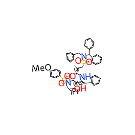 COc1ccc(S(=O)(=O)N(CC(C)C)C[C@@H](O)[C@H](Cc2ccccc2)NC(=O)[C@H](C)CS(=O)(=O)N(Cc2ccccc2)C(c2ccccc2)c2ccccc2)cc1